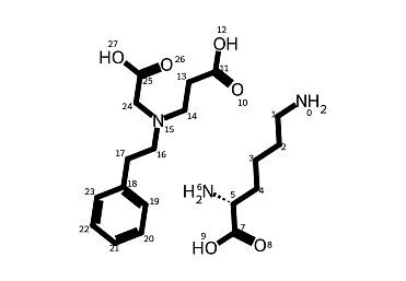 NCCCC[C@@H](N)C(=O)O.O=C(O)CCN(CCc1ccccc1)CC(=O)O